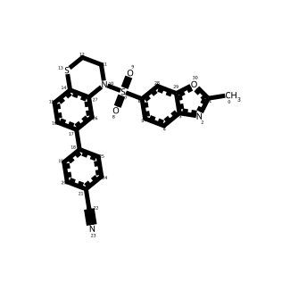 Cc1nc2ccc(S(=O)(=O)N3CCSc4ccc(-c5ccc(C#N)cc5)cc43)cc2o1